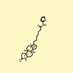 CN1C(=O)CC[C@@]2(C)C1CC[C@@H]1[C@H]2CC[C@]2(C)C(CCCCCCC(=O)Nc3cccs3)CC[C@@H]12